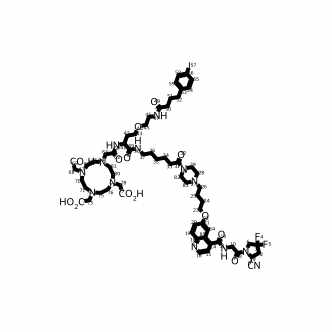 N#C[C@H]1CC(F)(F)CN1C(=O)CNC(=O)c1ccnc2ccc(OCCCCN3CCN(C(=O)CCCCCNC(=O)C(CCOCCNC(=O)CCCc4ccc(I)cc4)NC(=O)CN4CCN(CC(=O)O)CCN(CC(=O)O)CCN(CC(=O)O)CC4)CC3)cc12